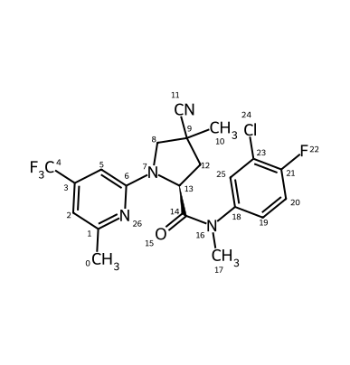 Cc1cc(C(F)(F)F)cc(N2CC(C)(C#N)C[C@H]2C(=O)N(C)c2ccc(F)c(Cl)c2)n1